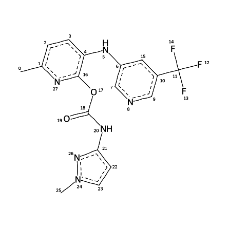 Cc1ccc(Nc2cncc(C(F)(F)F)c2)c(OC(=O)Nc2ccn(C)n2)n1